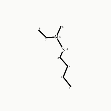 CCCCSN(C)CC